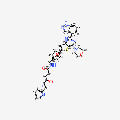 O=C(/C=C/c1ccccn1)CCC(=O)NCC12CCC(c3cc4nc(-c5cccc6[nH]ncc56)nc(N5CCOCC5)c4s3)(CC1)OC2